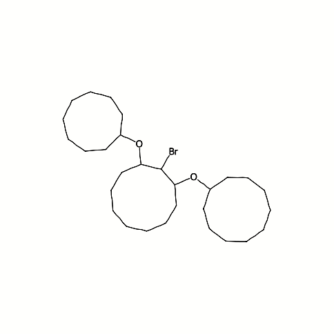 BrC1C(OC2CCCCCCCCC2)CCCCCCCC1OC1CCCCCCCC1